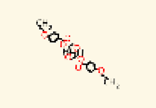 C=CCOc1ccc(C(=O)O[C@H]2CO[C@H]3[C@@H]2OC[C@@H]3OC(=O)c2ccc(OCC=C)cc2)cc1